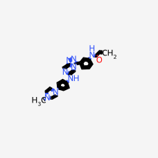 C=CC(=O)Nc1cccc(-c2nnc3cnc(Nc4ccc(N5CCN(C)CC5)cc4)cn23)c1